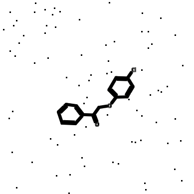 O=C(COc1ccc(Cl)cc1)c1ccccc1